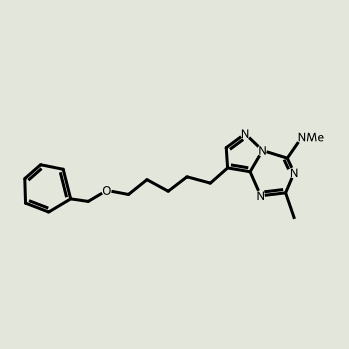 CNc1nc(C)nc2c(CCCCCOCc3ccccc3)cnn12